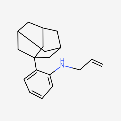 C=CCNc1ccccc1C12CC3CC(CC(C3)C1)C2